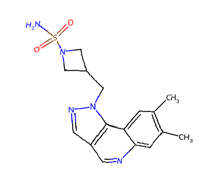 Cc1cc2ncc3cnn(CC4CN(S(N)(=O)=O)C4)c3c2cc1C